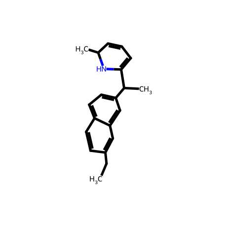 CCc1ccc2ccc(C(C)C3=CC=CC(C)N3)cc2c1